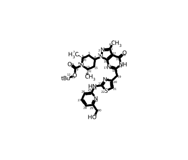 Cc1nn(C2C[C@@H](C)N(C(=O)OC(C)(C)C)[C@@H](C)C2)c2nc(Cc3csc(Nc4cccc(CO)n4)n3)[nH]c(=O)c12